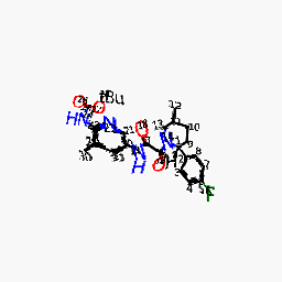 [2H]C1(c2ccc(F)cc2)CCC(C)CN1C(=O)C(=O)Nc1cnc(NC(=O)OC(C)(C)C)c(C)c1